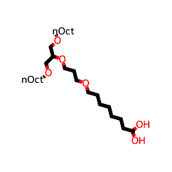 CCCCCCCCOCC(COCCCCCCCC)OCCCOCCCCCCCC(O)O